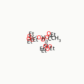 CCO[Si](CCCOCC(COC(=O)C(C)(C)CC)OCCC[Si](OCC)(OCC)OCC)(OCC)OCC